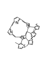 Cc1ccsc1C1=CC2=CC3=NC(=CC4=NC(=CC5=NC(=C(c6sccc6C)C1=N2)C(c1sccc1C)=C5c1sccc1C)C=C4)C=C3